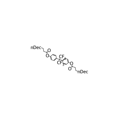 CCCCCCCCCCCCC(=O)Oc1ccc(C(c2ccc(OC(=O)CCCCCCCCCCCC)cc2)(C(F)(F)F)C(F)(F)F)cc1